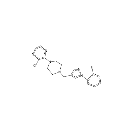 Fc1ccccc1-n1cc(CN2CCN(c3nccnc3Cl)CC2)cn1